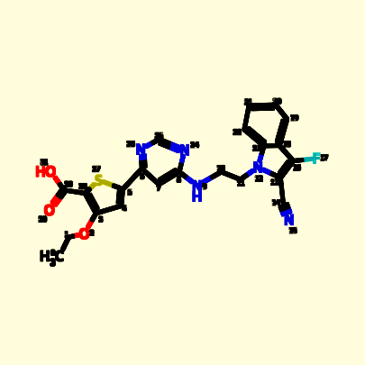 CCOc1cc(-c2cc(NCCn3c(C#N)c(F)c4ccccc43)ncn2)sc1C(=O)O